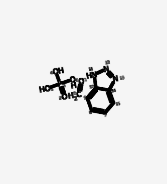 C=O.O=P(O)(O)O.c1ccc2[nH]nnc2c1